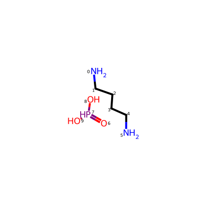 NCCCCN.O=[PH](O)O